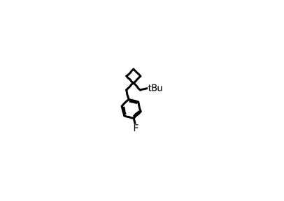 CC(C)(C)CC1(Cc2ccc(F)cc2)CCC1